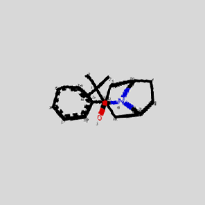 CC(C)(C)C(=O)N1C2CCC1CC(c1ccccc1)C2